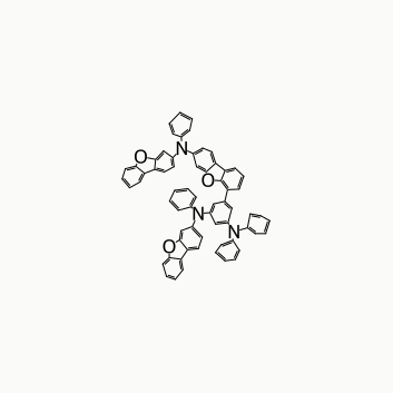 c1ccc(N(c2ccccc2)c2cc(-c3cccc4c3oc3cc(N(c5ccccc5)c5ccc6c(c5)oc5ccccc56)ccc34)cc(N(c3ccccc3)c3ccc4c(c3)oc3ccccc34)c2)cc1